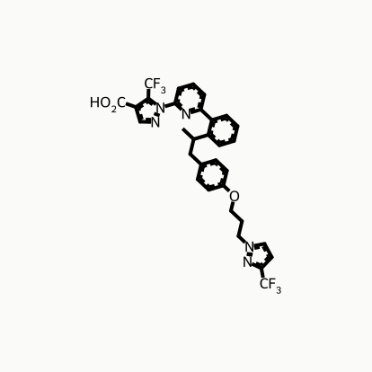 CC(Cc1ccc(OCCCn2ccc(C(F)(F)F)n2)cc1)c1ccccc1-c1cccc(-n2ncc(C(=O)O)c2C(F)(F)F)n1